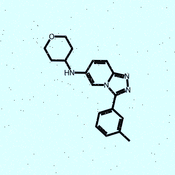 Cc1cccc(-c2nnc3ccc(NC4CCOCC4)cn23)c1